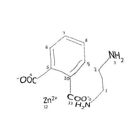 NCCN.O=C([O-])c1ccccc1C(=O)[O-].[Zn+2]